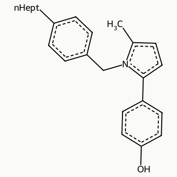 CCCCCCCc1ccc(Cn2c(C)ccc2-c2ccc(O)cc2)cc1